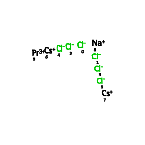 [Cl-].[Cl-].[Cl-].[Cl-].[Cl-].[Cl-].[Cs+].[Cs+].[Na+].[Pr+3]